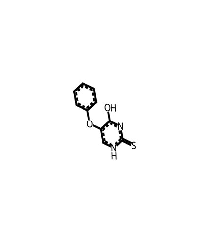 Oc1nc(=S)[nH]cc1Oc1ccccc1